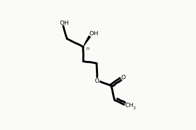 C=CC(=O)OCC[C@H](O)CO